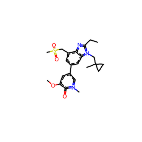 CCc1nc2c(CS(C)(=O)=O)cc(-c3cc(OC)c(=O)n(C)c3)cc2n1CC1(C)CC1